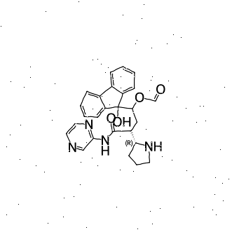 O=COC(CC(C(=O)Nc1cnccn1)[C@H]1CCCN1)C1(O)c2ccccc2-c2ccccc21